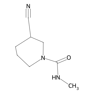 CNC(=O)N1CCCC(C#N)C1